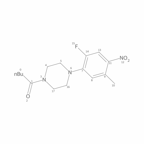 CCCCC(=O)N1CCN(c2cc(C)c([N+](=O)[O-])cc2F)CC1